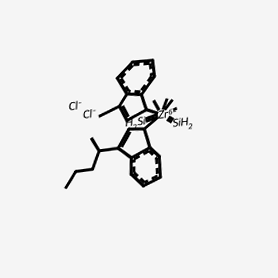 CCCC(C)C1=C[CH]([Zr-6]([CH3])([CH3])([CH3])([CH3])(=[SiH2])(=[SiH2])[CH]2C=C(C)c3ccccc32)c2ccccc21.[Cl-].[Cl-]